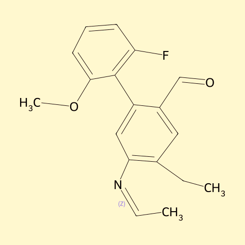 C/C=N\c1cc(-c2c(F)cccc2OC)c(C=O)cc1CC